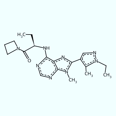 CC[C@@H](Nc1ncnc2c1nc(-c1cnn(CC)c1C)n2C)C(=O)N1CCC1